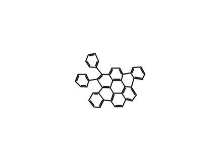 c1ccc(-c2c(-c3ccccc3)c3c4ccccc4c4ccc5ccc6c7ccccc7c7ccc2c2c7c6c5c4c32)cc1